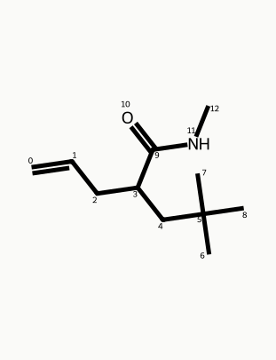 C=CCC(CC(C)(C)C)C(=O)NC